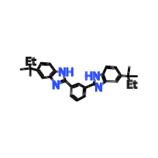 CCC(C)(C)c1ccc2[nH]c(-c3cccc(-c4nc5cc(C(C)(C)CC)ccc5[nH]4)c3)nc2c1